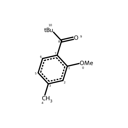 COc1cc(C)ccc1C(=O)C(C)(C)C